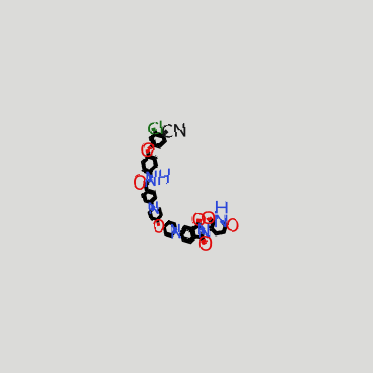 N#Cc1ccc(OC2CCC(NC(=O)c3ccc(N4CCC(OC5CCN(c6ccc7c(c6)C(=O)N(C6CCC(=O)NC6=O)C7=O)CC5)CC4)cc3)CC2)cc1Cl